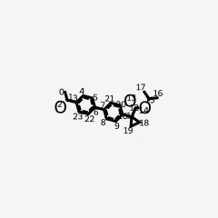 CC(=O)c1ccc(-c2ccc(C3(C(=O)OC(C)C)CC3)cc2)cc1